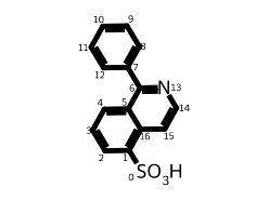 O=S(=O)(O)c1cccc2c(-c3ccccc3)nccc12